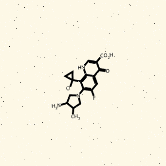 CC1CN(c2c(F)cc3c(=O)c(C(=O)O)c[nH]c3c2C2(Cl)CC2)CC1N